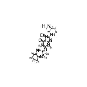 CCn1c(N2CCCC(N)C2)nc2c1c(=O)n(CC1=Nc3ccccc3OC(C)(C)C1)c(=O)n2C